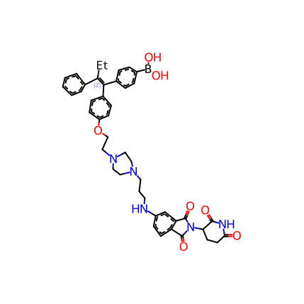 CC/C(=C(/c1ccc(OCCN2CCN(CCCNc3ccc4c(c3)C(=O)N(C3CCC(=O)NC3=O)C4=O)CC2)cc1)c1ccc(B(O)O)cc1)c1ccccc1